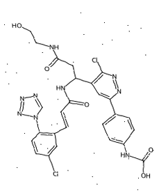 O=C(O)Nc1ccc(-c2cc(C(CC(=O)NCCO)NC(=O)C=Cc3cc(Cl)ccc3-n3cnnn3)c(Cl)nn2)cc1